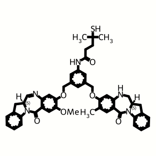 COc1cc2c(cc1OCc1cc(COc3cc4c(cc3C)C(=O)N3c5ccccc5C[C@H]3CN4)cc(NC(=O)CCC(C)(C)S)c1)N=C[C@@H]1Cc3ccccc3N1C2=O